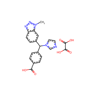 Cn1nnc2ccc(C(c3ccc(C(=O)O)cc3)n3ccnc3)cc21.O=C(O)C(=O)O